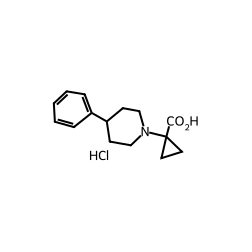 Cl.O=C(O)C1(N2CCC(c3ccccc3)CC2)CC1